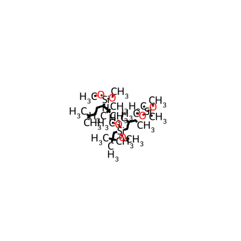 CCC(C)C[Si](CC(C)(C)C)(OC)OC.CO[SiH](OC)C(CCC(C)C)C(C)(C)C.CO[Si](C)(C)OC